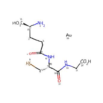 N[C@@H](CCC(=O)N[C@@H](CS)C(=O)NCC(=O)O)C(=O)O.[Au]